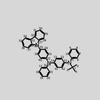 CC(C)(C)N(c1ccccc1)c1ccc(N(c2ccccc2)c2ccc(-n3c4ccccc4c4ccccc43)cc2)cc1